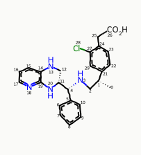 C[C@H](CN[C@H](c1ccccc1)[C@H]1CNc2cccnc2N1)c1ccc(CC(=O)O)c(Cl)c1